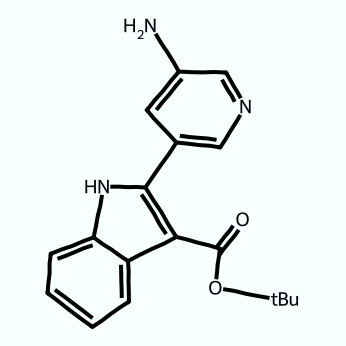 CC(C)(C)OC(=O)c1c(-c2cncc(N)c2)[nH]c2ccccc12